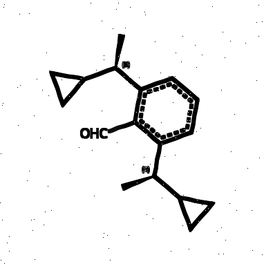 C[C@@H](c1cccc([C@H](C)C2CC2)c1C=O)C1CC1